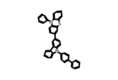 c1ccc(-c2ccc(-n3c4ccccc4c4cc(-c5ccc6c(c5)Sc5ccccc5N6c5ccccc5)ccc43)cc2)cc1